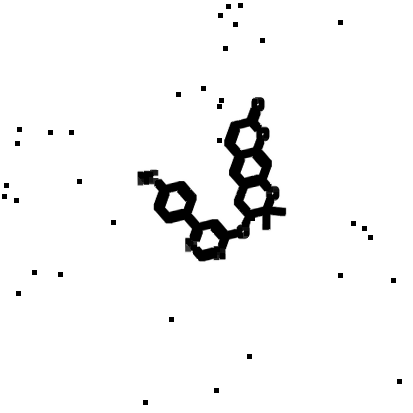 CC1(C)Oc2cc3oc(=O)ccc3cc2C[C@@H]1Oc1cc(-c2ccc(C#N)cc2)ncn1